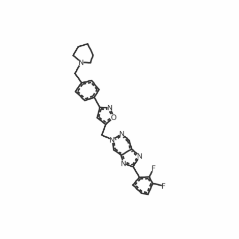 Fc1cccc(-c2nc3cnn(Cc4cc(-c5ccc(CN6CCCCC6)cc5)no4)cc-3n2)c1F